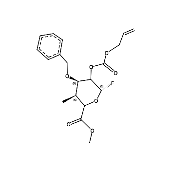 C=CCOC(=O)OC1[C@H](F)OC(C(=O)OC)[C@@H](C)[C@H]1OCc1ccccc1